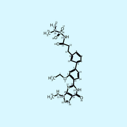 CCOc1cc(-c2cccc(CCC(=O)NS(=O)(=O)N(C)C)c2)ccc1-c1nc2c(nnn2PC)c(=O)[nH]1